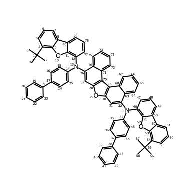 CC(C)(C)c1cccc2c1oc1c(N(c3ccc(-c4ccccc4)cc3)c3cc4oc5cc(N(c6ccc(-c7ccccc7)cc6)c6cccc7c6oc6c(C(C)(C)C)cccc67)c6ccccc6c5c4c4ccccc34)cccc12